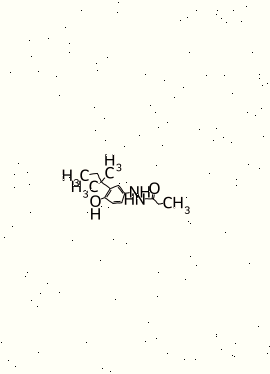 CCC(=O)NNc1ccc(O)c(C(C)(C)CC)c1